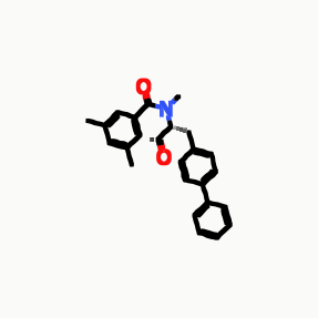 Cc1cc(C)cc(C(=O)N(C)[C@@H]([C]=O)Cc2ccc(-c3ccccc3)cc2)c1